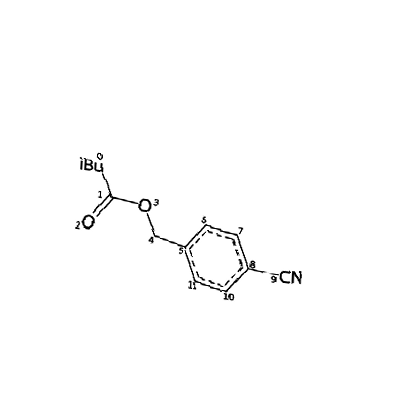 CCC(C)C(=O)OCc1ccc(C#N)cc1